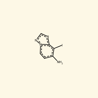 Nc1ccn2ncnc2c1I